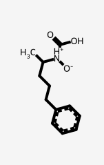 CC(CCCc1ccccc1)[NH+]([O-])C(=O)O